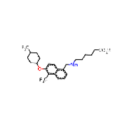 O=C(O)CCCCCNCc1cccc2c(C(F)(F)F)c(OC3CCC(C(F)(F)F)CC3)ccc12